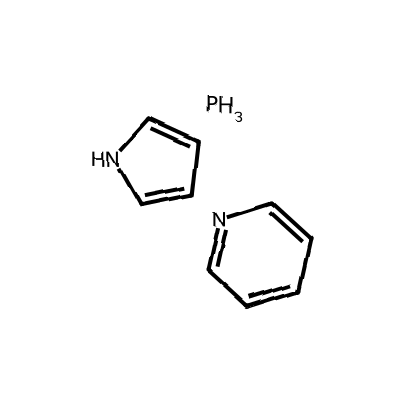 P.c1cc[nH]c1.c1ccncc1